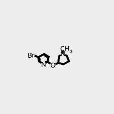 CN1CCCC(Oc2ccc(Br)cn2)C1